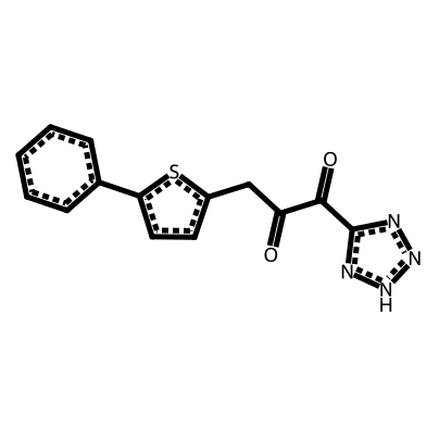 O=C(Cc1ccc(-c2ccccc2)s1)C(=O)c1nn[nH]n1